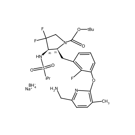 Cc1ccc(CN)nc1Oc1cccc(C[C@H]2[C@@H](NS(=O)(=O)C(C)C)C(F)(F)CN2C(=O)OC(C)(C)C)c1F.[BH4-].[Na+]